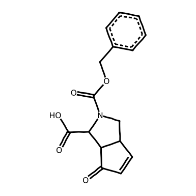 O=C1C=CC2CN(C(=O)OCc3ccccc3)C(C(=O)O)C12